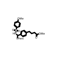 CCCCCC(NS(=O)(=O)c1ccc(OC)cc1)c1ccc(CCCC(=O)OC)cc1